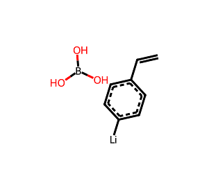 OB(O)O.[Li][c]1ccc(C=C)cc1